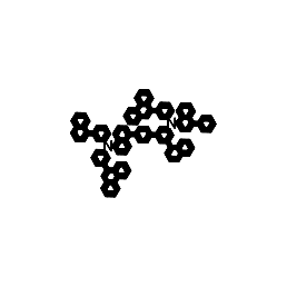 c1ccc(-c2ccc(N(c3cc(-c4ccc(-c5cccc6c(N(c7cccc(-c8cccc9ccccc89)c7)c7cccc(-c8cc9ccccc9c9ccccc89)c7)cccc56)cc4)cc(-c4cccc5ccccc45)c3)c3cccc(-c4cc5ccccc5c5ccccc45)c3)c3ccccc23)cc1